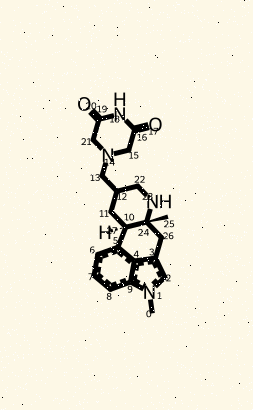 Cn1cc2c3c(cccc31)[C@H]1CC(CN3CC(=O)NC(=O)C3)CN[C@]1(C)C2